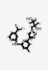 Cc1cc(Nc2cc(C(F)F)ccn2)nc(-c2cn(CC(C)(O)C(C)(C)O)nn2)c1